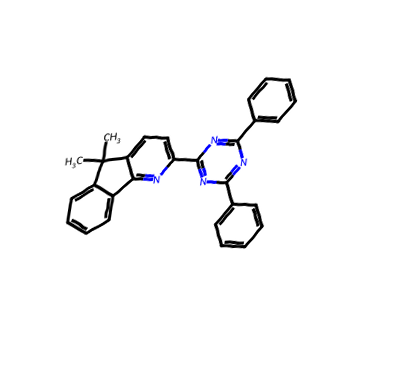 CC1(C)c2ccccc2-c2nc(-c3nc(-c4ccccc4)nc(-c4ccccc4)n3)ccc21